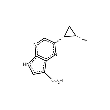 C[C@H]1C[C@H]1c1cnc2[nH]cc(C(=O)O)c2n1